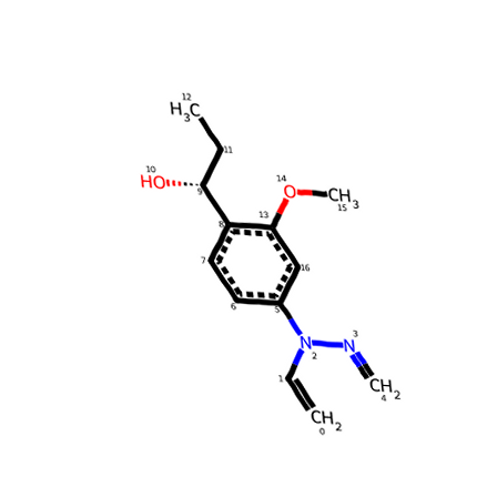 C=CN(N=C)c1ccc([C@H](O)CC)c(OC)c1